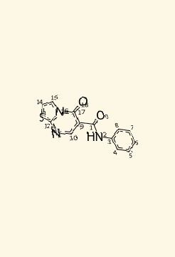 O=C(Nc1c[c]ccc1)c1cnc2sccn2c1=O